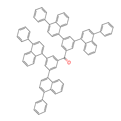 O=C(c1cc(-c2ccc(-c3ccccc3)c3ccccc23)cc(-c2ccc(-c3ccccc3)c3ccccc23)c1)c1cc(-c2ccc(-c3ccccc3)c3ccccc23)cc(-c2ccc(-c3ccccc3)c3ccccc23)c1